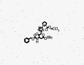 CC(C)(C)OC(=O)CC(NC(=O)OCc1ccccc1)C(=O)Cn1nnc(N2CCC[C@@H]2C(=O)OCC(Cl)(Cl)Cl)n1